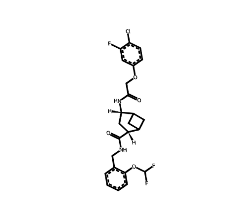 O=C(COc1ccc(Cl)c(F)c1)N[C@H]1C[C@@H](C(=O)NCc2ccccc2OC(F)F)C2CC1C2